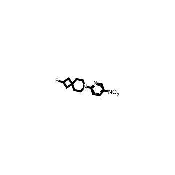 O=[N+]([O-])c1ccc(N2CCC3(CC2)CC(F)C3)nc1